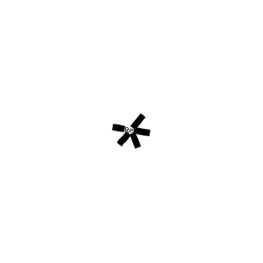 [CH2]=[Re](=[CH2])(=[CH2])(=[CH2])=[CH2]